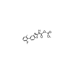 COC(=O)[C@@H]1CC1C(=O)Nc1nc2cc(-c3c(C)cccc3F)ccc2s1